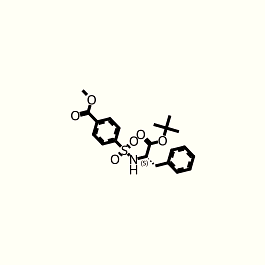 COC(=O)c1ccc(S(=O)(=O)N[C@@H](Cc2ccccc2)C(=O)OC(C)(C)C)cc1